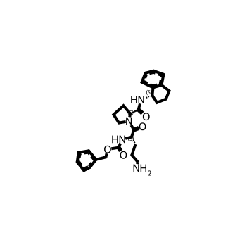 NCCC[C@H](NC(=O)OCc1ccccc1)C(=O)N1CCC[C@H]1C(=O)N[C@H]1CCCc2ccccc21